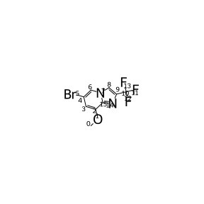 COc1cc(Br)cn2cc(C(F)(F)F)nc12